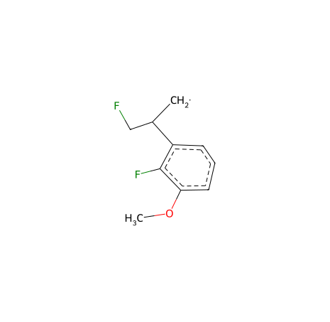 [CH2]C(CF)c1cccc(OC)c1F